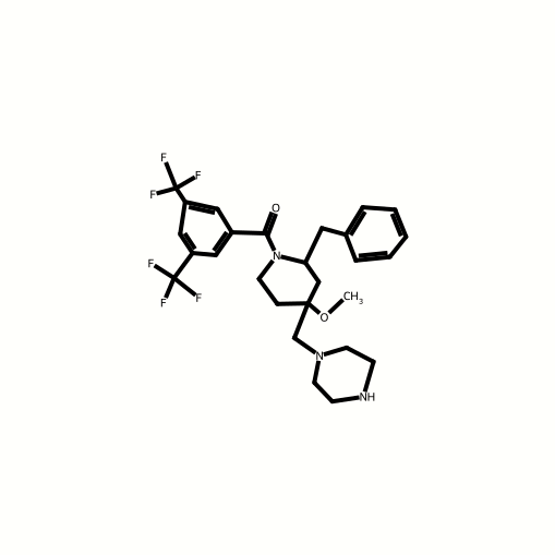 COC1(CN2CCNCC2)CCN(C(=O)c2cc(C(F)(F)F)cc(C(F)(F)F)c2)C(Cc2ccccc2)C1